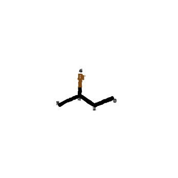 CC[C](C)Br